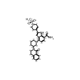 CS(=O)(=O)N1CC=C(c2cc3c(N4CCCC(N5CCc6ccccc6C5=O)C4)ccc(C(N)=O)c3[nH]2)CC1